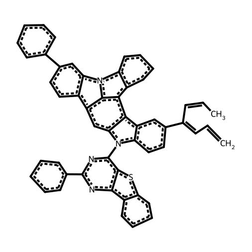 C=C/C=C(\C=C/C)c1ccc2c(c1)c1c3c4ccccc4n4c5cc(-c6ccccc6)ccc5c(cc1n2-c1nc(-c2ccccc2)nc2c1sc1ccccc12)c34